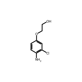 Nc1ccc(OCCO)cc1Cl